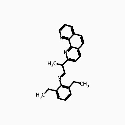 CCc1cccc(CC)c1N=CC(C)c1ccc2ccc3cccnc3c2n1